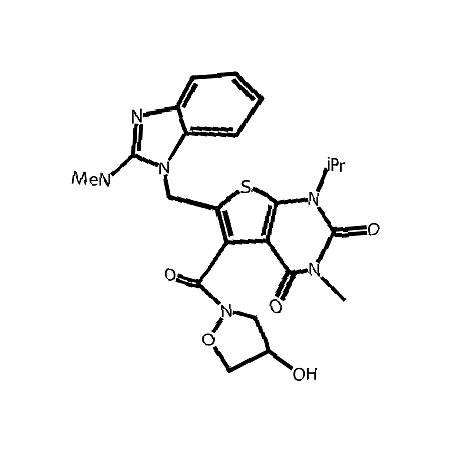 CNc1nc2ccccc2n1Cc1sc2c(c1C(=O)N1CC(O)CO1)c(=O)n(C)c(=O)n2C(C)C